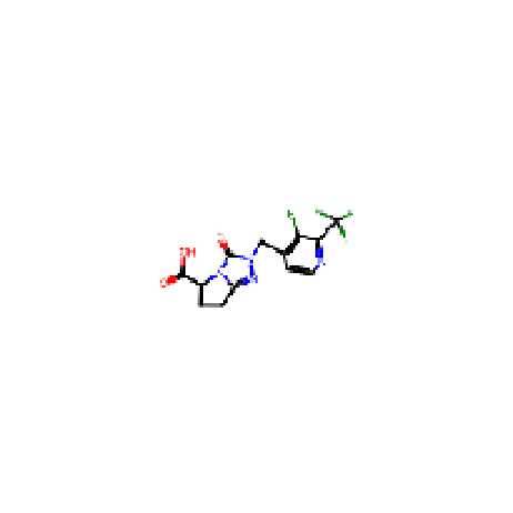 O=C(O)C1CCc2nn(Cc3ccnc(C(F)(F)F)c3F)c(=O)n21